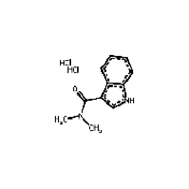 CN(C)C(=O)c1c[nH]c2ccccc12.Cl.Cl